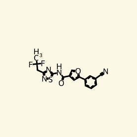 CC(F)(F)Cc1nsc(NC(=O)c2coc(-c3cccc(C#N)c3)c2)n1